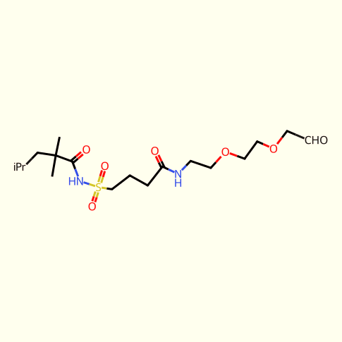 CC(C)CC(C)(C)C(=O)NS(=O)(=O)CCCC(=O)NCCOCCOCC=O